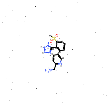 CS(=O)(=O)c1cccc(-c2ccc(CN)nc2)c1-c1nnn[nH]1